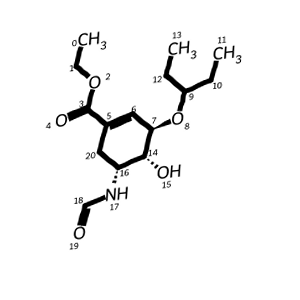 CCOC(=O)C1=C[C@@H](OC(CC)CC)[C@H](O)[C@H](NC=O)C1